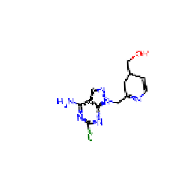 Nc1nc(Cl)nc2c1cnn2CC1=NC=CC(CO)C1